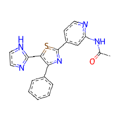 CC(=O)Nc1cc(-c2nc(-c3ccccc3)c(-c3ncc[nH]3)s2)ccn1